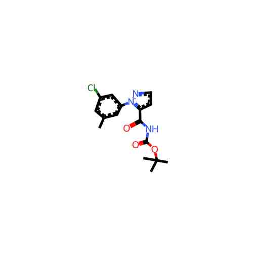 Cc1cc(Cl)cc(-n2nccc2C(=O)NC(=O)OC(C)(C)C)c1